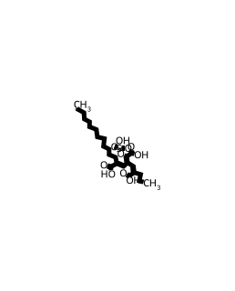 CCCCCCCCCCCCCC(=CC(C=C(CCC)C(=O)O)=C(OS(=O)(=O)O)C(=O)O)C(=O)O